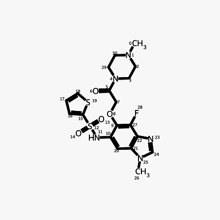 CN1CCN(C(=O)COc2c(NS(=O)(=O)c3cccs3)cc3c(ncn3C)c2F)CC1